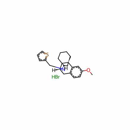 Br.COc1ccc2c(c1)[C@@]13CCCC[C@H]1[C@@H](C2)N(Cc1cccs1)CC3